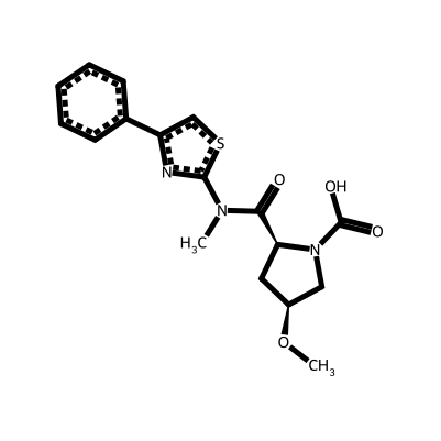 CO[C@H]1C[C@@H](C(=O)N(C)c2nc(-c3ccccc3)cs2)N(C(=O)O)C1